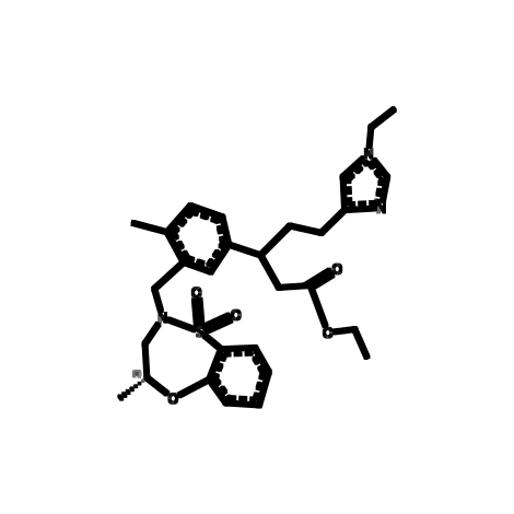 CCOC(=O)CC(CCc1cn(CC)cn1)c1ccc(C)c(CN2C[C@@H](C)Oc3ccccc3S2(=O)=O)c1